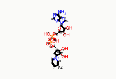 CC(=O)c1ccc[n+]([C@@H]2C[C@H](COP(=O)(O)OP(=O)(O)OC[C@H]3O[C@@H](n4cnc5c(N)ncnc54)[C@H](O)[C@@H]3O)[C@@H](O)[C@H]2O)c1